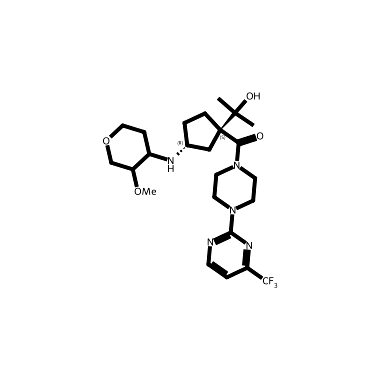 COC1COCCC1N[C@@H]1CC[C@@](C(=O)N2CCN(c3nccc(C(F)(F)F)n3)CC2)(C(C)(C)O)C1